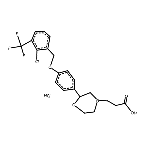 Cl.O=C(O)CCN1CCOC(c2ccc(OCc3cccc(C(F)(F)F)c3Cl)cc2)C1